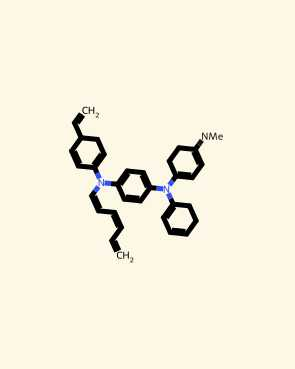 C=C/C=C\C=C/N(C1=CCC(C=C)C=C1)c1ccc(N(C2=CC=CCC2)C2=CC=C(NC)CC2)cc1